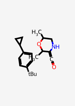 CC(C)(C)c1ccc(C2CC2)cc1.CC1CNC(=C=O)C(C)O1